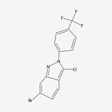 FC(F)(F)c1ccc(-n2nc3cc(Br)ccc3c2Cl)cc1